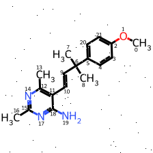 COc1ccc(C(C)(C)/C=C/c2c(C)nc(C)nc2N)cc1